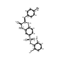 O=C1Nc2cc(S(=O)(=O)Cc3c(F)cccc3F)ccc2S/C1=C\c1ccc(Br)cc1